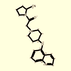 N#CC1CCCN1C(=O)CN1CCC(Oc2cccc3ncccc23)CC1